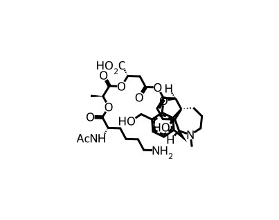 CC(=O)N[C@@H](CCCCN)C(=O)O[C@@H](C)C(=O)O[C@@H](CC(=O)OC1=CC[C@@]2(O)[C@H]3Cc4ccc(CO)c5c4[C@@]2(CCCN3C)[C@H]1O5)C(=O)O